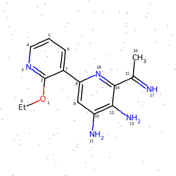 CCOc1ncccc1-c1cc(N)c(N)c(C(C)=N)n1